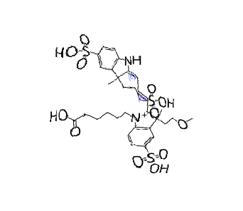 COCCC1(C)C(/C=C/C=C2/Nc3ccc(S(=O)(=O)O)cc3C2(C)CCCS(=O)(=O)O)=[N+](CCCCCC(=O)O)c2ccc(S(=O)(=O)O)cc21